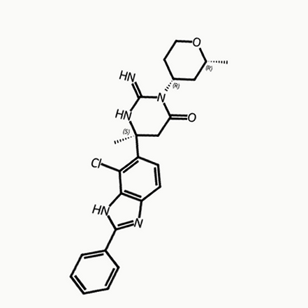 C[C@@H]1C[C@H](N2C(=N)N[C@](C)(c3ccc4nc(-c5ccccc5)[nH]c4c3Cl)CC2=O)CCO1